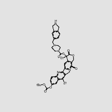 CCc1c2c(nc3ccc(OC(=O)OC(C)(C)C)cc13)-c1cc3c(c(=O)n1C2)COC(=O)C3(CC)OC(=O)N1CCN(Cc2ccc3c(c2)CNC3)CC1